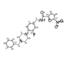 O=C(NCc1ccc(N2CCN(Cc3ccccc3)CC2)c(F)c1)c1ccc([N+](=O)[O-])o1